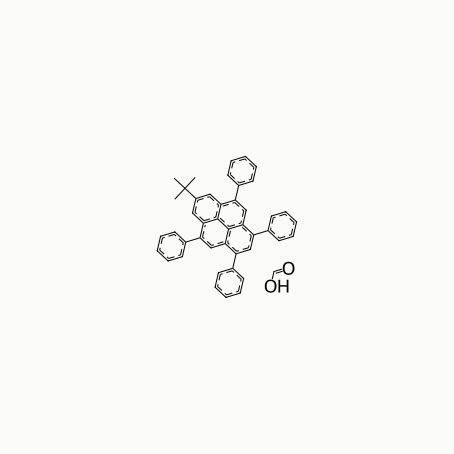 CC(C)(C)c1cc2c(-c3ccccc3)cc3c(-c4ccccc4)cc(-c4ccccc4)c4cc(-c5ccccc5)c(c1)c2c34.O=CO